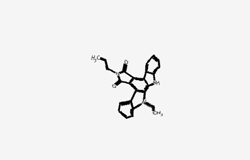 CCCN1C(=O)c2c(c3c4ccccc4n(CC)c3c3[nH]c4ccccc4c23)C1=O